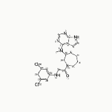 CN(c1ncnc2[nH]ccc12)C1CCCCN(C(=O)CNC2=CC(Cl)CC(Cl)=C2)C1